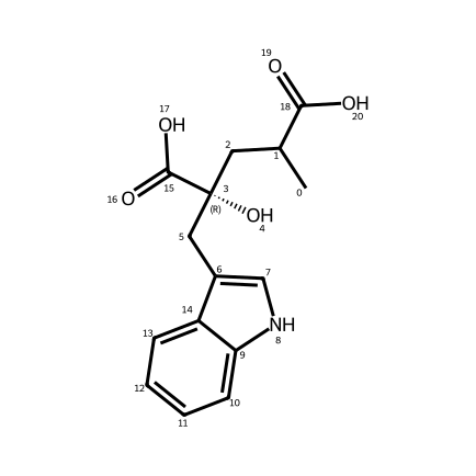 CC(C[C@@](O)(Cc1c[nH]c2ccccc12)C(=O)O)C(=O)O